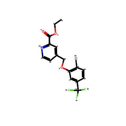 CCOC(=O)c1cc(COc2cc(C(F)(F)F)ccc2Cl)ccn1